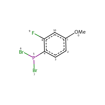 COc1ccc(P(Br)Br)c(F)c1